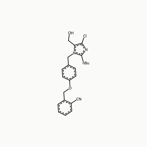 CCCCc1nc(Cl)c(CO)n1Cc1ccc(OCc2ccccc2C#N)cc1